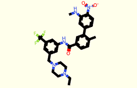 CCN1CCN(Cc2cc(NC(=O)c3ccc(C)c(-c4ccc([N+](=O)[O-])c(NC)c4)c3)cc(C(F)(F)F)c2)CC1